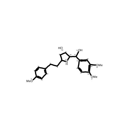 COc1ccc(CCC2CCC(C(O)c3ccc(OC)c(OC)c3)N2)cc1.Cl